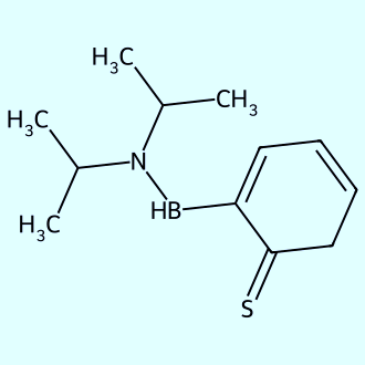 CC(C)N(BC1=CC=CCC1=S)C(C)C